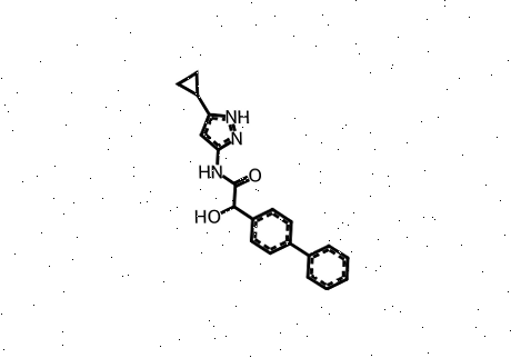 O=C(Nc1cc(C2CC2)[nH]n1)C(O)c1ccc(-c2ccccc2)cc1